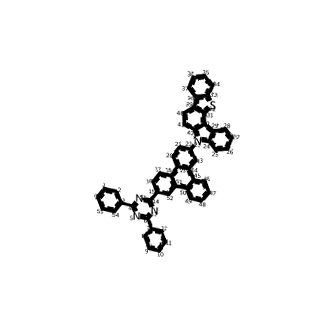 c1ccc(-c2nc(-c3ccccc3)nc(-c3ccc4c5ccc(-n6c7ccccc7c7c8sc9ccccc9c8ccc76)cc5c5ccccc5c4c3)n2)cc1